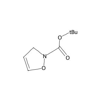 CC(C)(C)OC(=O)N1CC=CO1